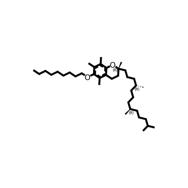 CCCCCCCCCOc1c(C)c(C)c2c(c1C)CC[C@@](C)(CCC[C@H](C)CCC[C@H](C)CCCC(C)C)O2